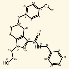 COc1ccc(CN2CCc3c(c(C(=O)NCc4ccccc4)nn3CCO)C2)cc1